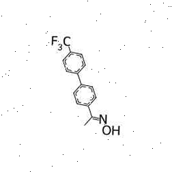 CC(=NO)c1ccc(-c2ccc(C(F)(F)F)cc2)cc1